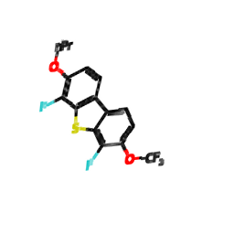 CCCOc1ccc2c(sc3c(F)c(OC(F)(F)F)ccc32)c1F